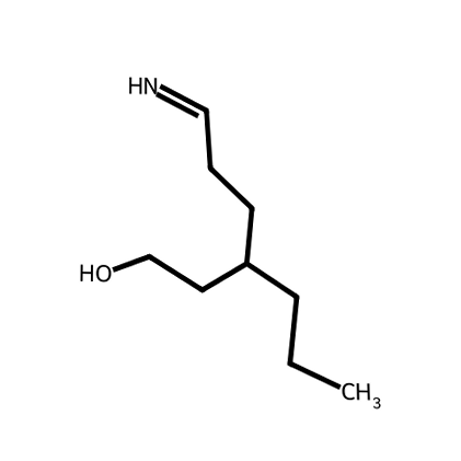 CCCC(CCO)CCC=N